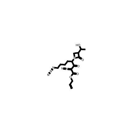 C=CCOC(=O)C(=[N+]=[N-])C(=O)C(CCCCN=[N+]=[N-])N1CC(C(C)O)C1=O